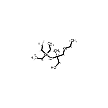 CCOC[C@@](C)(CO)O[Si](CC)(CC)CC